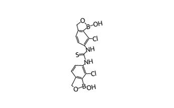 OB1OCc2ccc(NC(=S)Nc3ccc4c(c3Cl)B(O)OC4)c(Cl)c21